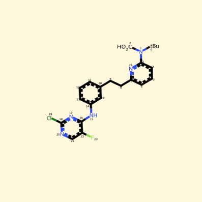 CC(C)(C)N(C(=O)O)c1cccc(CCc2cccc(Nc3nc(Cl)ncc3F)c2)n1